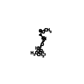 CCOC(=O)[C@H]1C[C@@H]1c1cnn(CCOCCNC(=O)OC(C)(C)C)c1